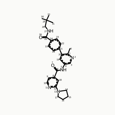 Cc1ncc(NC(=O)c2ccnc(N3CCCC3)c2)cc1-c1ccc(C(=O)NCC(C)(C)C)cc1